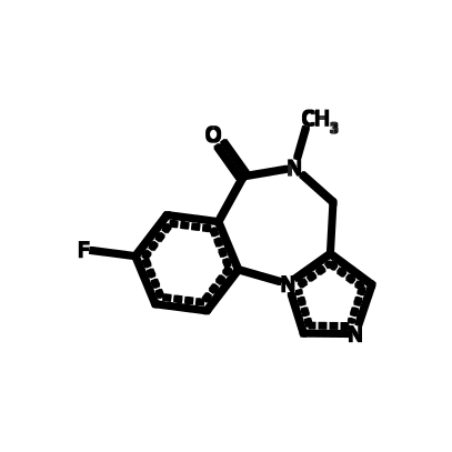 CN1Cc2cncn2-c2ccc(F)cc2C1=O